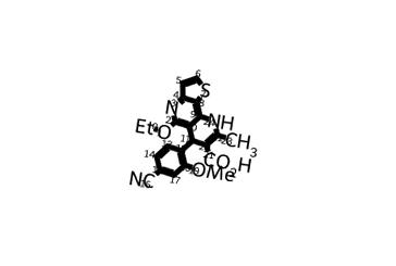 CCOc1nc2ccsc2c2c1C(c1ccc(C#N)cc1OC)C(C(=O)O)=C(C)N2